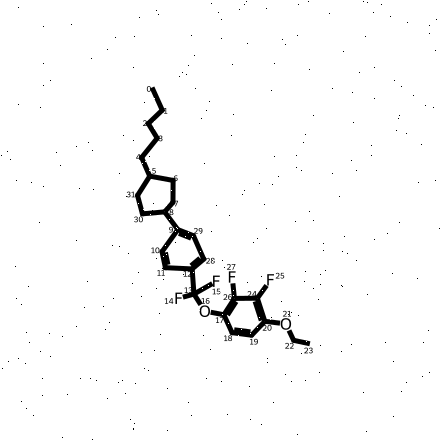 CCCCCC1CCC(c2ccc(C(F)(F)Oc3ccc(OCC)c(F)c3F)cc2)CC1